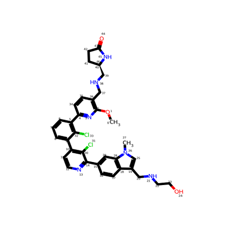 COc1nc(-c2cccc(-c3ccnc(-c4ccc5c(CNCCO)cn(C)c5c4)c3Cl)c2Cl)ccc1CNC[C@H]1CCC(=O)N1